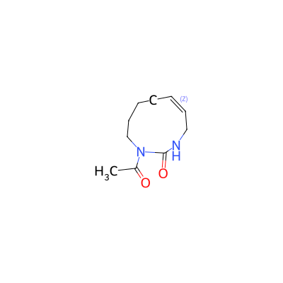 CC(=O)N1CCCC/C=C\CNC1=O